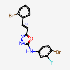 Fc1cc(Nc2nnc(/C=C/c3ccccc3Br)o2)ccc1Br